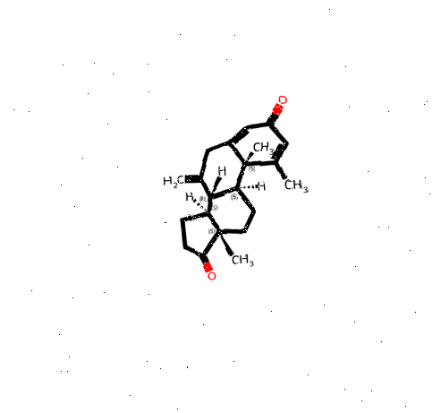 C=C1CC2=CC(=O)C=C(C)[C@]2(C)[C@H]2CC[C@]3(C)C(=O)CC[C@H]3[C@H]12